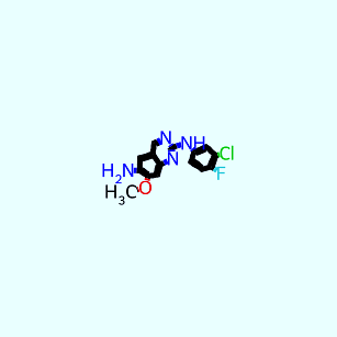 COc1cc2nc(Nc3ccc(F)c(Cl)c3)ncc2cc1N